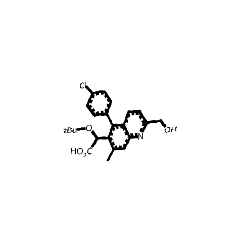 Cc1cc2nc(CO)ccc2c(-c2ccc(Cl)cc2)c1C(OC(C)(C)C)C(=O)O